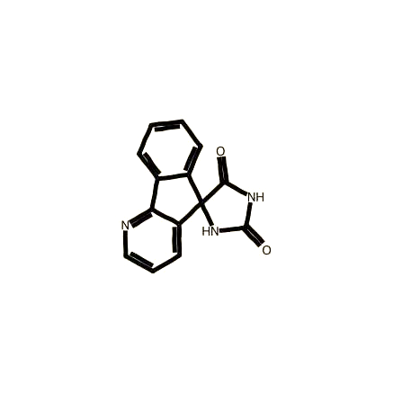 O=C1NC(=O)C2(N1)c1ccccc1-c1ncccc12